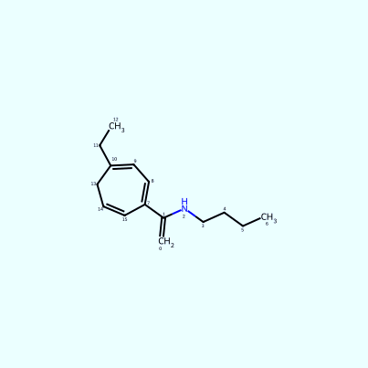 C=C(NCCCC)C1=CC=C(CC)CC=C1